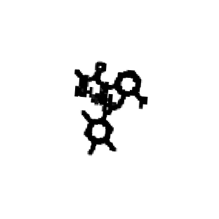 Cc1cc(C)c(OCc2c(F)cccc2N(N)C(=O)N(C)N)cc1C